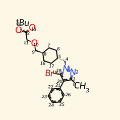 Cc1nn(C[C@H]2CC[C@H](COCC(=O)OC(C)(C)C)CC2)c(Br)c1-c1ccccc1